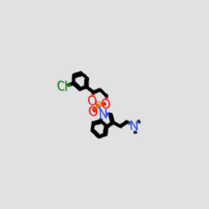 CN(C)CCc1cn(P2(=O)OCCC(c3cccc(Cl)c3)O2)c2ccccc12